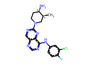 C[C@H]1CN(c2ncc3ncnc(Nc4ccc(F)c(Cl)c4)c3n2)CC[C@H]1N